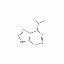 CC(C)C1C=NCC2NC=NC21